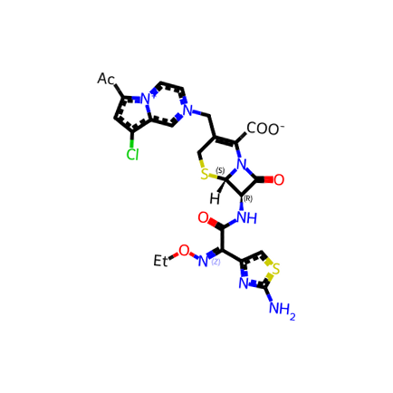 CCO/N=C(\C(=O)N[C@@H]1C(=O)N2C(C(=O)[O-])=C(Cn3cc[n+]4c(C(C)=O)cc(Cl)c-4c3)CS[C@@H]12)c1csc(N)n1